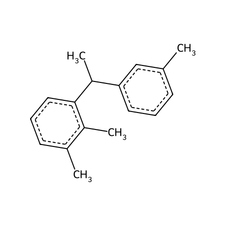 Cc1cccc(C(C)c2cccc(C)c2C)c1